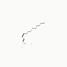 CCCCC[C@H](O)/C=C/C=C\CCCCCCCCCC(=O)O